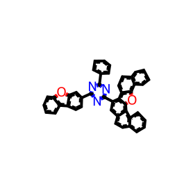 c1ccc(-c2nc(-c3ccc4c(c3)oc3ccccc34)nc(-c3cc4ccc5ccccc5c4c4oc5c6ccccc6ccc5c34)n2)cc1